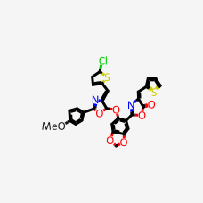 COc1ccc(C2=N/C(=C\C3=CCC(Cl)S3)C(Oc3cc4c(cc3C3=N/C(=C/c5cccs5)C(=O)O3)OCO4)O2)cc1